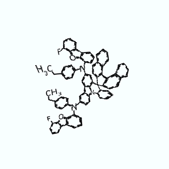 CCc1ccc(N(c2ccc3c(c2)c2cc(N(c4ccc(CC)cc4)c4cccc5c4oc4c(F)cccc45)cc4c2n3-c2ccccc2C42c3ccc4ccccc4c3-c3c2ccc2ccccc32)c2cccc3c2oc2c(F)cccc23)cc1